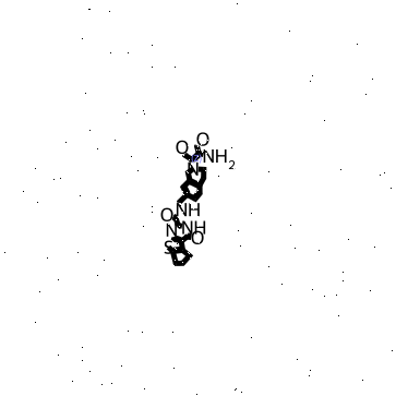 N/C(C=O)=C(/C=O)N1CCc2ccc(CNC(=O)c3nc4sc5c(c4c(=O)[nH]3)CCC5)cc2C1